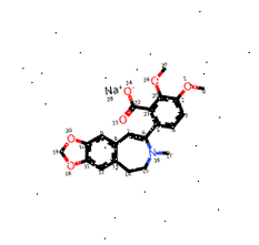 COc1ccc(C2=Cc3cc4c(cc3CCN2C)OCO4)c(C(=O)[O-])c1OC.[Na+]